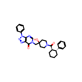 O=C([C@@H]1CCCC[C@H]1c1ccccc1)N1CCC(O)(Cn2cnc3c(nnn3-c3ccccc3)c2=O)CC1